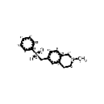 CN1CCc2cc(CS(=O)(=O)c3ccccc3)ccc2C1